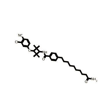 CC1(C)C(NC(=O)c2ccc(CCCCCCCCCC(N)=O)cc2)C(C)(C)C1Oc1ccc(C#N)c(Cl)c1